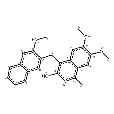 CNc1nc2ccccc2cc1Cc1c(O)nc(C)c2cc(OC)c(OC)cc12